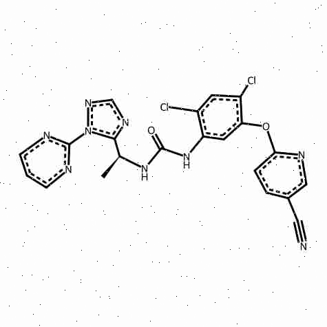 C[C@H](NC(=O)Nc1cc(Oc2ccc(C#N)cn2)c(Cl)cc1Cl)c1ncnn1-c1ncccn1